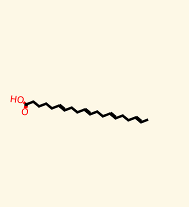 C/C=C/CC/C=C/CC/C=C/CC/C=C/CCCCC(=O)O